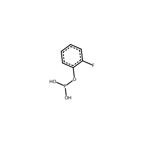 OP(O)Oc1ccccc1F